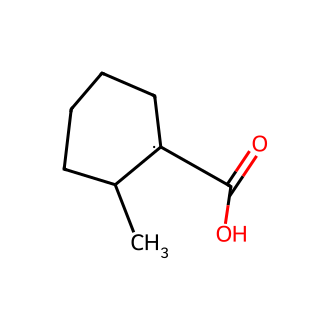 CC1CCCC[C]1C(=O)O